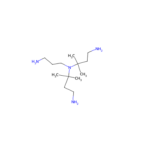 CC(C)(CCN)N(CCCN)C(C)(C)CCN